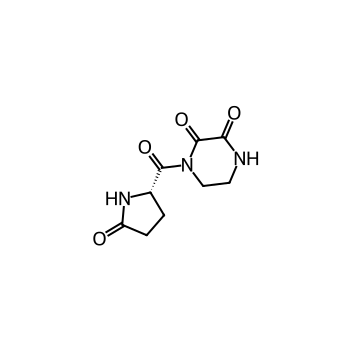 O=C1CC[C@@H](C(=O)N2CCNC(=O)C2=O)N1